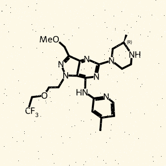 COCc1nn(CCOCC(F)(F)F)c2c(Nc3cc(C)ccn3)nc(N3CCN[C@H](C)C3)nc12